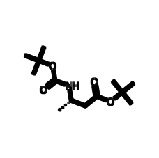 C[C@@H]([CH]C(=O)OC(C)(C)C)NC(=O)OC(C)(C)C